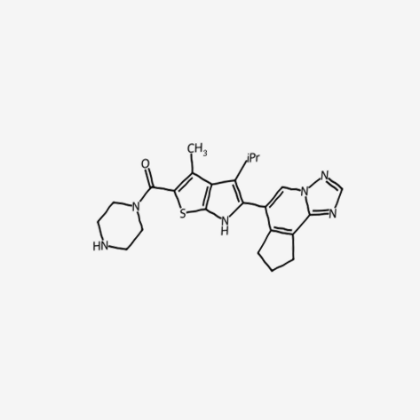 Cc1c(C(=O)N2CCNCC2)sc2[nH]c(-c3cn4ncnc4c4c3CCC4)c(C(C)C)c12